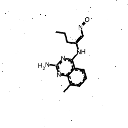 CCC/C(=C\N=O)Nc1nc(N)nc2c(C)cccc12